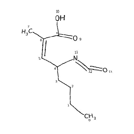 CCCCC(C=C(C)C(=O)O)N=C=O